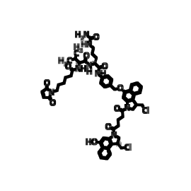 CC(C)[C@H](NC(=O)CCCCCN1C(=O)C=CC1=O)C(=O)N[C@@H](CCCNC(N)=O)C(=O)Nc1ccc(COc2cc3c(c4ccccc24)C(CCl)CN3C(=O)CCCC(=O)N2C[C@@H](CCl)c3c2cc(O)c2ccccc32)cc1